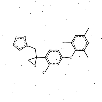 Cc1cc(C)c(Oc2ccc(C3(Cn4cccn4)CO3)c(Cl)c2)c(C)c1